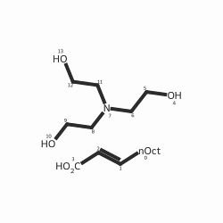 CCCCCCCCC=CC(=O)O.OCCN(CCO)CCO